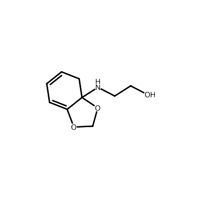 OCCNC12CC=CC=C1OCO2